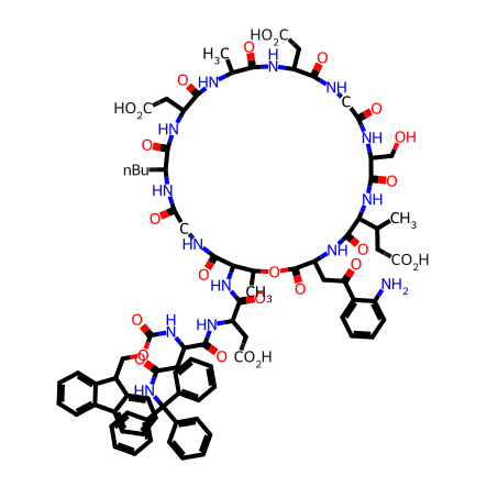 CCCCC1NC(=O)CNC(=O)C(NC(=O)C(CC(=O)O)NC(=O)C(CC(=O)NC(c2ccccc2)(c2ccccc2)c2ccccc2)NC(=O)OCC2c3ccccc3-c3ccccc32)C(C)OC(=O)C(CC(=O)c2ccccc2N)NC(=O)C(C(C)CC(=O)O)NC(=O)C(CO)NC(=O)CNC(=O)C(CC(=O)O)NC(=O)C(C)NC(=O)C(CC(=O)O)NC1=O